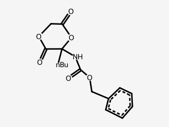 CCCCC1(NC(=O)OCc2ccccc2)OC(=O)COC1=O